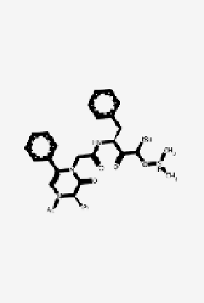 CC(=O)N1C=C(c2ccccc2)N(CC(=O)N[C@@H](Cc2ccccc2)C(=O)C(O[SiH](C)C)C(C)(C)C)C(=O)[C@H]1C(C)C